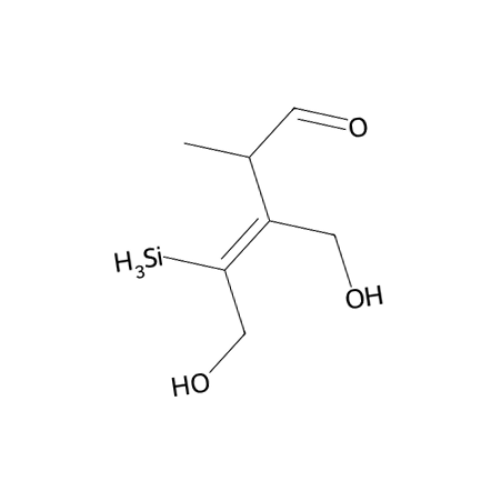 CC(C=O)C(CO)=C([SiH3])CO